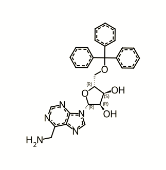 NCc1ncnc2c1ncn2[C@@H]1O[C@H](COC(c2ccccc2)(c2ccccc2)c2ccccc2)[C@@H](O)[C@H]1O